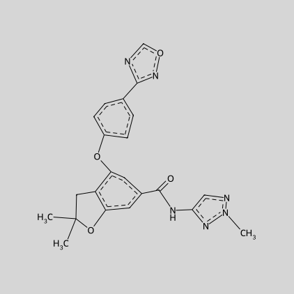 Cn1ncc(NC(=O)c2cc(Oc3ccc(-c4ncon4)cc3)c3c(c2)OC(C)(C)C3)n1